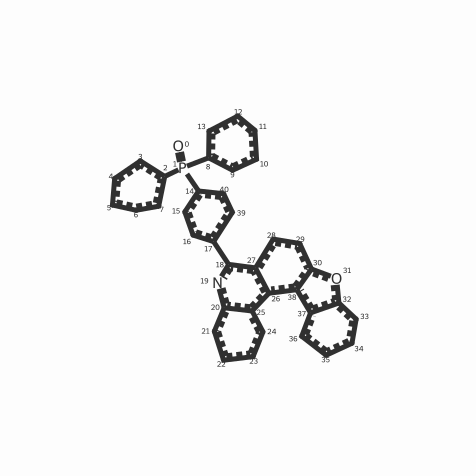 O=P(c1ccccc1)(c1ccccc1)c1ccc(-c2nc3ccccc3c3c2ccc2oc4ccccc4c23)cc1